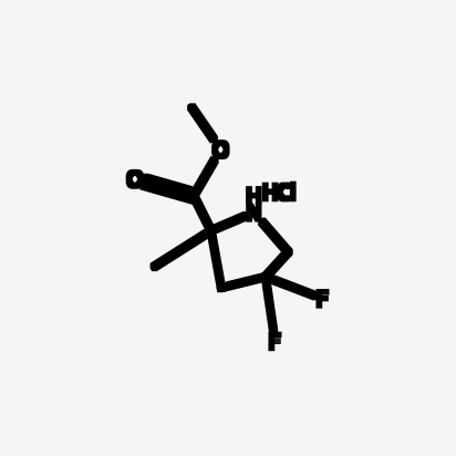 COC(=O)C1(C)CC(F)(F)CN1.Cl